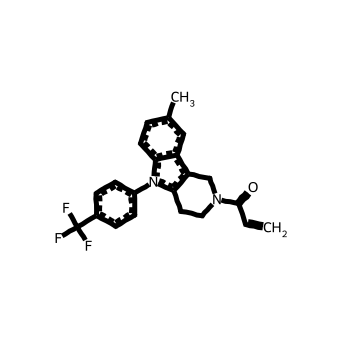 C=CC(=O)N1CCc2c(c3cc(C)ccc3n2-c2ccc(C(F)(F)F)cc2)C1